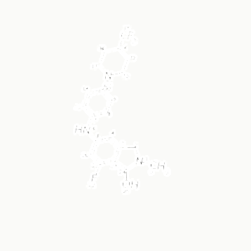 CN1Cc2cc(Nc3ccc(N4CCC(C(F)(F)F)CC4)cc3)cc(F)c2C1O